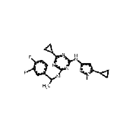 CC(Nc1nc(Nc2cc(C3CC3)[nH]n2)nc(C2CC2)n1)c1ccc(F)c(F)c1